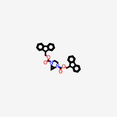 O=C(OCC1c2ccccc2-c2ccccc21)N1CCN(C(=O)OCC2c3ccccc3-c3ccccc32)C2CC21